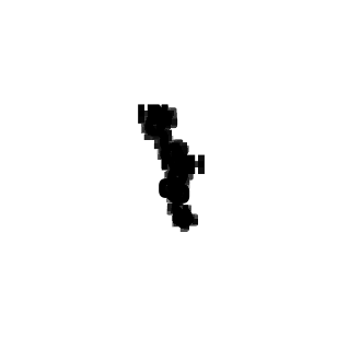 O=S(=O)(CCCN1CCCC1)c1ccc(Nc2ncc(/C=C/c3cccc4[nH]ccc34)cn2)cc1